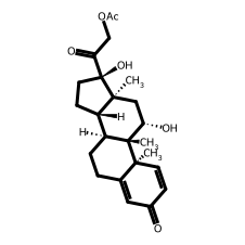 CC(=O)OCC(=O)[C@@]1(O)CC[C@H]2[C@@H]3CCC4=CC(=O)C=C[C@]4(C)[C@@]3(C)[C@@H](O)C[C@@]21C